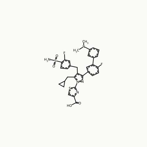 CN(C)c1cccc(-c2cc(-c3nn(-c4nc(C(=O)O)cs4)c(CC4CC4)c3Cc3ccc(S(N)(=O)=O)c(F)c3)ccc2F)c1